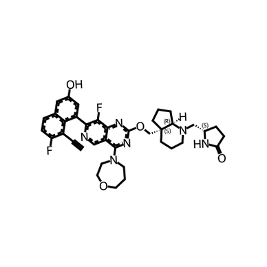 C#Cc1c(F)ccc2cc(O)cc(-c3ncc4c(N5CCCOCC5)nc(OC[C@]56CCC[C@H]5N(C[C@@H]5CCC(=O)N5)CCC6)nc4c3F)c12